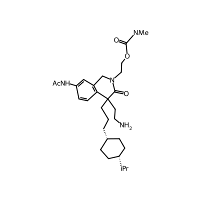 CNC(=O)OCCN1Cc2cc(NC(C)=O)ccc2C(CCN)(CCC[C@H]2CC[C@@H](C(C)C)CC2)C1=O